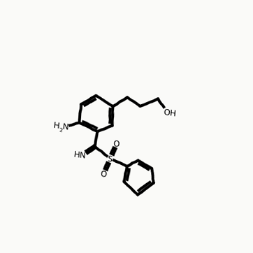 N=C(c1cc(CCCO)ccc1N)S(=O)(=O)c1ccccc1